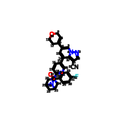 N#Cc1cnn2cc(C3=CCOCC3)cc(-c3ccc(N4CC5CC(C4)N5C(=O)c4ccc(F)cc4)nc3)c12